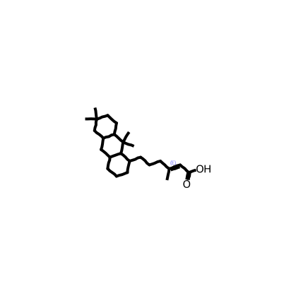 C/C(=C\C(=O)O)CCCC1CCCC2CC3CC(C)(C)CCC3C(C)(C)C12